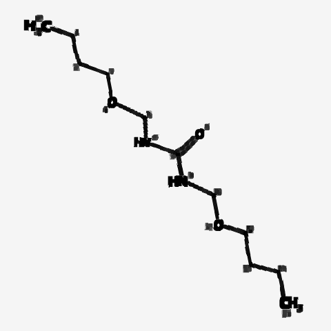 CCCCOCNC(=O)NCOCCCC